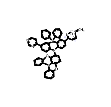 C=N/C=C\C(=N/C)c1ccc2c(c1)[Si](c1ccccc1)(c1ccccc1)c1cc(-c3ccncn3)ccc1N2c1ccc2c3c1Oc1ccccc1B3c1ccccc1O2